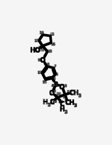 CC1(C)OB(c2ccc(OCC3(O)CCCC3)cc2)OC1(C)C